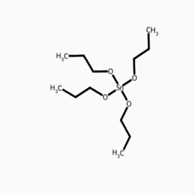 CCC[O][Sn]([O]CCC)([O]CCC)[O]CCC